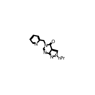 CCCn1cc2c(=O)n(Cc3ccccn3)cnc2n1